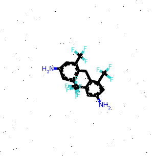 Nc1cc(C(F)(F)F)c(Cc2c(C(F)(F)F)cc(N)cc2C(F)(F)F)c(C(F)(F)F)c1